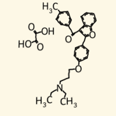 CCN(CC)CCCOc1ccc(-c2oc3ccccc3c2C(=O)c2ccc(C)cc2)cc1.O=C(O)C(=O)O